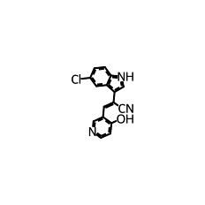 N#CC(=Cc1cnccc1O)c1c[nH]c2ccc(Cl)cc12